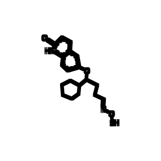 O=c1ccc2cc(OC(CCC=NOS)C3CCCCC3)ccc2[nH]1